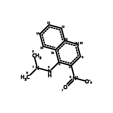 CN(C)Nc1c([N+](=O)[O-])cnc2ccccc12